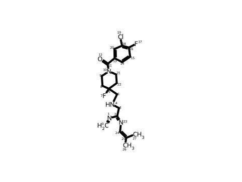 C=N/C(CNCC1(F)CCN(C(=O)c2ccc(F)c(Cl)c2)CC1)=N\C=C(C)C